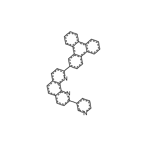 c1cncc(-c2ccc3ccc4ccc(-c5ccc6c7ccccc7c7ccccc7c6c5)nc4c3n2)c1